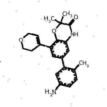 Cc1ccc(N)cc1-c1cc2c(c(C3=CCOCC3)c1)OC(C)(C)C(=O)N2